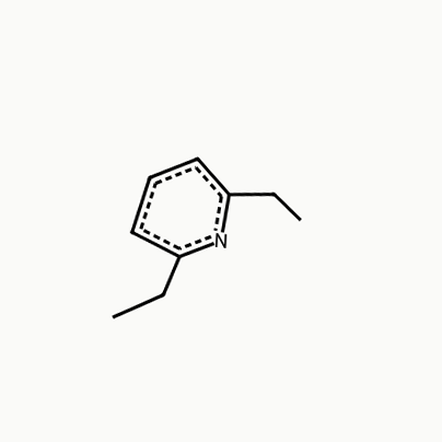 CCc1cccc(CC)n1